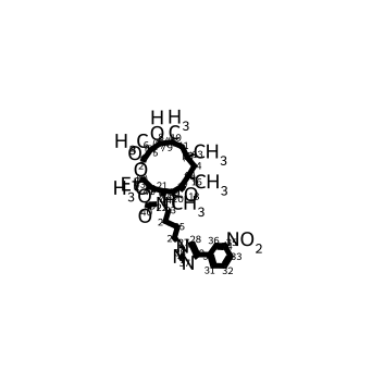 CC[C@H]1OC(=O)[C@H](C)[C@@H](O)[C@H](C)C[C@@H](C)C[C@@H](C)C(=O)[C@H](C)[C@@H]2N(CCCCn3cc(-c4cccc([N+](=O)[O-])c4)nn3)C(=O)O[C@@]21C